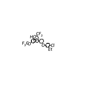 CCc1cc(OC2CCCC(Cc3cccc(OC(F)(F)F)c3)(NCC(O)C(F)(F)F)C2)ccc1Cl